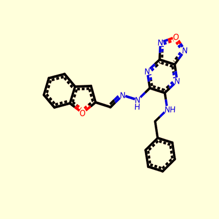 C(=NNc1nc2nonc2nc1NCc1ccccc1)c1cc2ccccc2o1